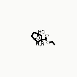 CCOC(=O)C1(N)CC2CCC(C1)O2.Cl